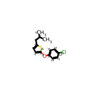 CC(C)Cc1ccc(Oc2ccc(Cl)cc2)s1